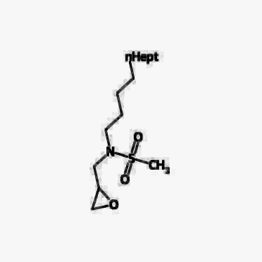 CCCCCCCCCCCN(CC1CO1)S(C)(=O)=O